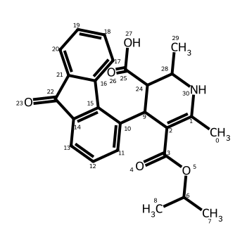 CC1=C(C(=O)OC(C)C)C(c2cccc3c2-c2ccccc2C3=O)C(C(=O)O)C(C)N1